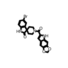 O=C(c1cc2cc3c(cc2[nH]1)OCO3)N1CCC2(CC1)C(=O)Nc1ccc(Br)cc12